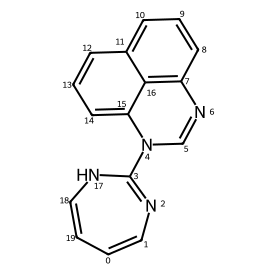 C1=CN=C(N2C=Nc3cccc4cccc2c34)NC=C1